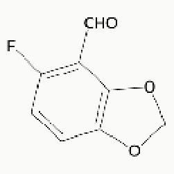 O=Cc1c(F)ccc2c1OCO2